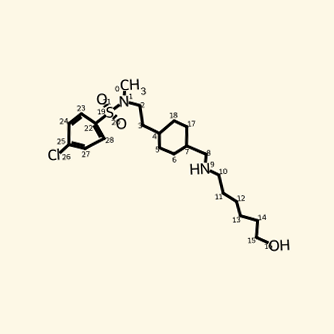 CN(CCC1CCC(CNCCCCCCO)CC1)S(=O)(=O)c1ccc(Cl)cc1